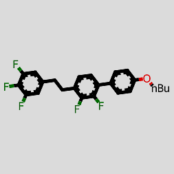 CCCCOc1ccc(-c2ccc(CCc3cc(F)c(F)c(F)c3)c(F)c2F)cc1